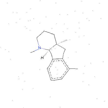 Cc1cccc2c1C[C@]1(C)CCCN(C)[C@H]21